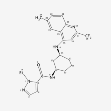 CCn1nccc1C(=O)N[C@@H]1CCC[C@H](Nc2cc(C(F)(F)F)nc3ccc(C)cc23)C1